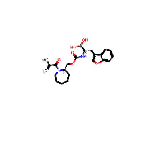 C=C(C#N)C(=O)N1CCCCC[C@@H]1COC(=O)N[C@@H](Cc1coc2ccccc12)B(O)O